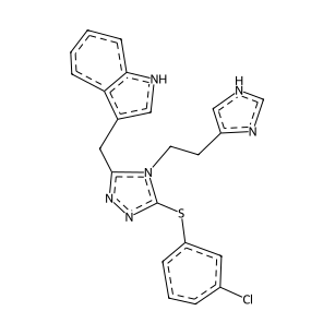 Clc1cccc(Sc2nnc(Cc3c[nH]c4ccccc34)n2CCc2c[nH]cn2)c1